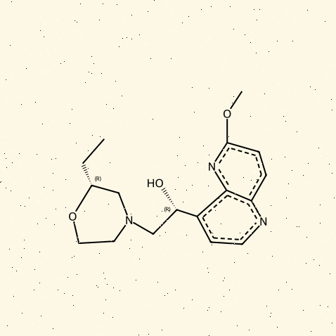 CC[C@@H]1CN(C[C@H](O)c2ccnc3ccc(OC)nc23)CCO1